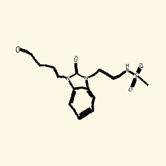 CS(=O)(=O)NCCn1c(=O)n(CCCCCl)c2ccccc21